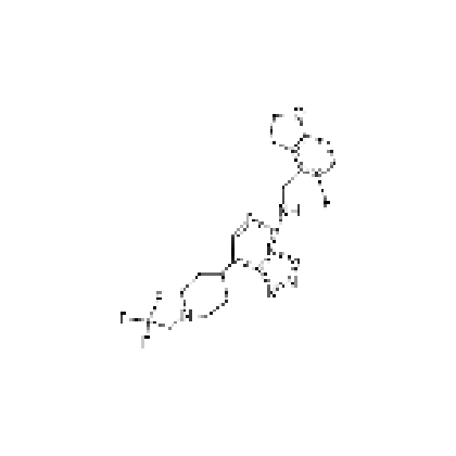 Fc1ccc2c(c1CNc1ncc(C3CCN(CC(F)(F)F)CC3)c3nncn13)CCO2